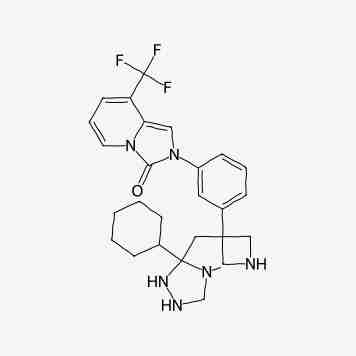 CN1CNNC1(CC1(c2cccc(-n3cc4c(C(F)(F)F)cccn4c3=O)c2)CNC1)C1CCCCC1